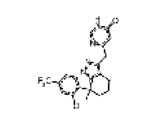 CC1(c2ccc(C(F)(F)F)cc2Cl)CCCc2c(Cc3cc(=O)[nH]cn3)nnn21